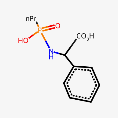 CCCP(=O)(O)NC(C(=O)O)c1ccccc1